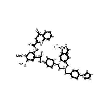 COc1cc(NC(=O)c2cc(=O)c3ccccc3o2)c(C(=O)Nc2ccc(CCN(Cc3ccc(-n4ccnc4)cc3)Cc3ccc4c(cnn4C)c3)cc2)cc1OC